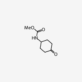 COC(=O)NC1CCC(=O)CC1